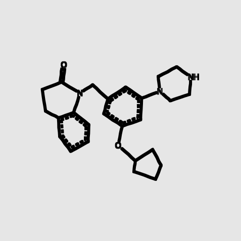 O=C1CCc2ccccc2N1Cc1cc(OC2CCCC2)cc(N2CCNCC2)c1